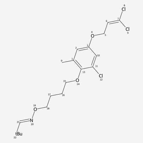 Cc1cc(OCC=C(Cl)Cl)cc(Cl)c1OCCCCON=CC(C)(C)C